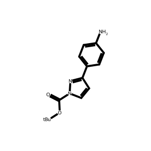 CC(C)(C)OC(=O)n1ccc(-c2ccc(N)cc2)n1